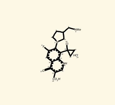 CNCC1CCN(c2c(F)cc3c(=O)c(C(=O)O)c[nH]c3c2C2(Cl)CC2)C1.Cl